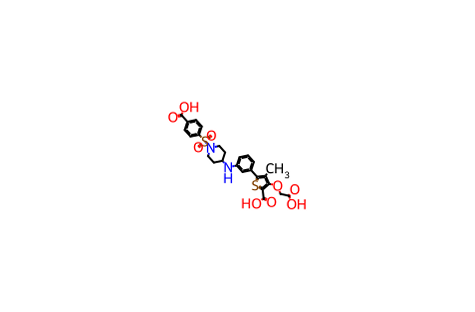 Cc1c(-c2cccc(NC3CCN(S(=O)(=O)c4ccc(C(=O)O)cc4)CC3)c2)sc(C(=O)O)c1OCC(=O)O